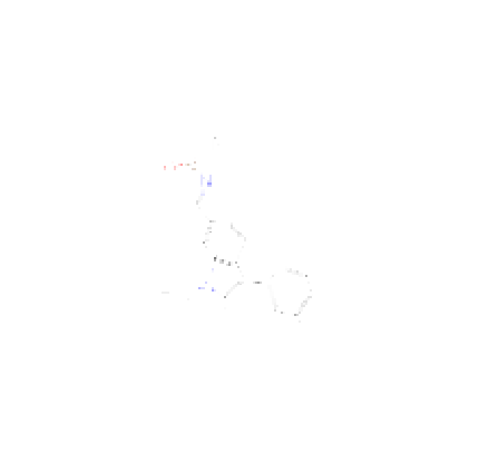 Cn1cc(-c2ccccc2)c2ccc(C=N[S@+]([O-])C(C)(C)C)cc21